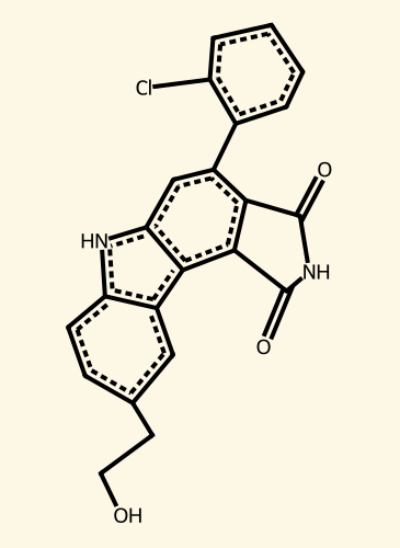 O=C1NC(=O)c2c1c(-c1ccccc1Cl)cc1[nH]c3ccc(CCO)cc3c21